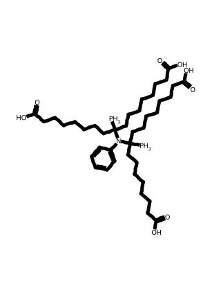 O=C(O)CCCCCCCC(P)(CCCCCCCC(=O)O)N(c1ccccc1)C(P)(CCCCCCCC(=O)O)CCCCCCCC(=O)O